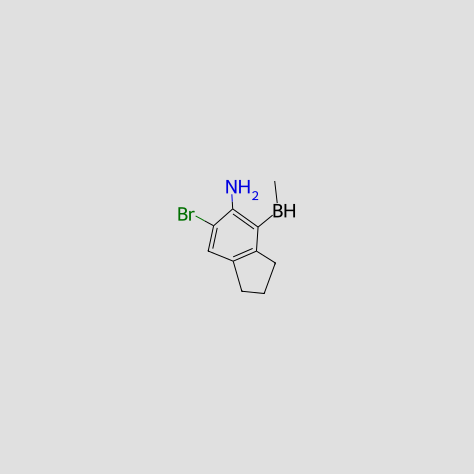 CBc1c(N)c(Br)cc2c1CCC2